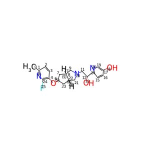 Cc1ccc(O[C@H]2C[C@@H]3CN(CC(O)c4ccc(O)cn4)C[C@@H]3C2)c(F)n1